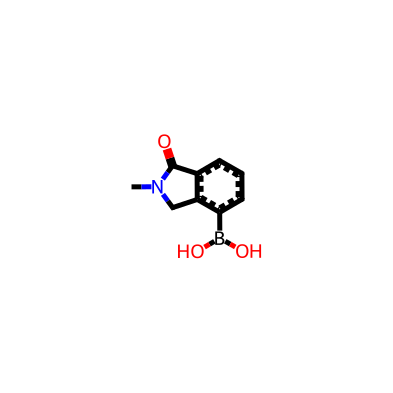 CN1Cc2c(B(O)O)cccc2C1=O